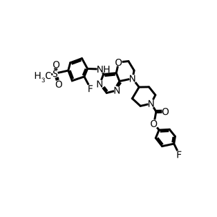 CS(=O)(=O)c1ccc(Nc2ncnc3c2OCCN3C2CCN(C(=O)Oc3ccc(F)cc3)CC2)c(F)c1